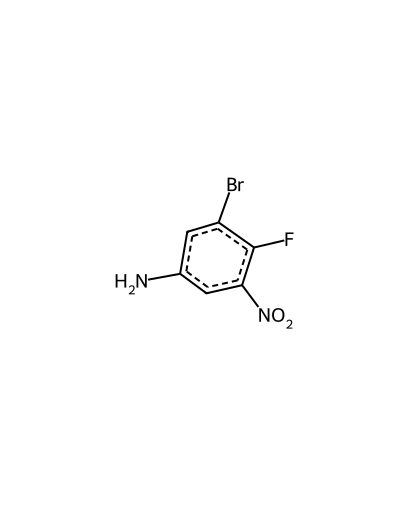 Nc1cc(Br)c(F)c([N+](=O)[O-])c1